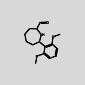 COc1cccc(OC)c1C1CCCCC(C=O)N1